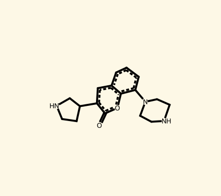 O=c1oc2c(N3CCNCC3)cccc2cc1C1CCNC1